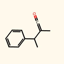 CC(=C=O)C(C)c1ccccc1